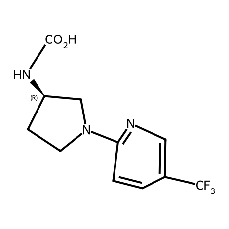 O=C(O)N[C@@H]1CCN(c2ccc(C(F)(F)F)cn2)C1